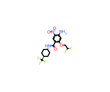 Nc1cc(OCC(F)F)c(C(=O)N[C@H]2CC[C@H](C(F)(F)F)CC2)cc1[N+](=O)[O-]